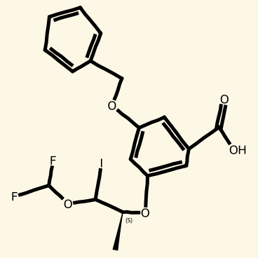 C[C@H](Oc1cc(OCc2ccccc2)cc(C(=O)O)c1)C(I)OC(F)F